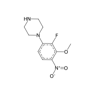 COc1c([N+](=O)[O-])ccc(N2CCNCC2)c1F